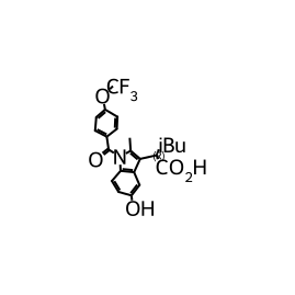 CCC(C)[C@@H](C(=O)O)c1c(C)n(C(=O)c2ccc(OC(F)(F)F)cc2)c2ccc(O)cc12